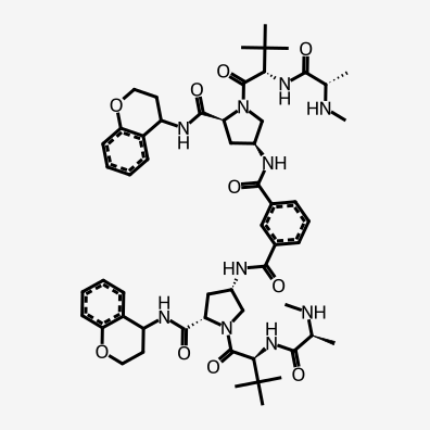 CN[C@@H](C)C(=O)N[C@H](C(=O)N1C[C@@H](NC(=O)c2cccc(C(=O)N[C@H]3C[C@@H](C(=O)NC4CCOc5ccccc54)N(C(=O)[C@@H](NC(=O)[C@H](C)NC)C(C)(C)C)C3)c2)C[C@H]1C(=O)NC1CCOc2ccccc21)C(C)(C)C